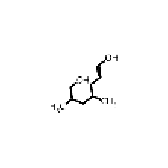 CC(CO)CC(C)CC=CO